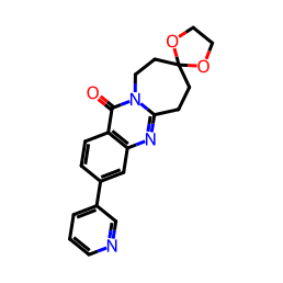 O=c1c2ccc(-c3cccnc3)cc2nc2n1CCC1(CC2)OCCO1